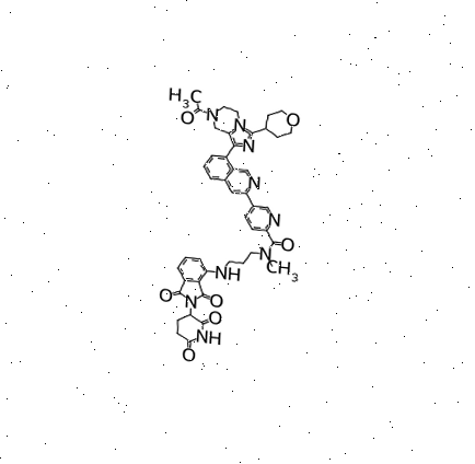 CC(=O)N1CCn2c(C3CCOCC3)nc(-c3cccc4cc(-c5ccc(C(=O)N(C)CCCNc6cccc7c6C(=O)N(C6CCC(=O)NC6=O)C7=O)nc5)ncc34)c2C1